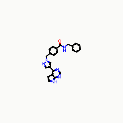 O=C(NCc1ccccc1)c1ccc(Cn2cc(-c3ncnc4[nH]ccc34)cn2)cc1